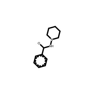 [O]C(NN1CCCCC1)c1ccccc1